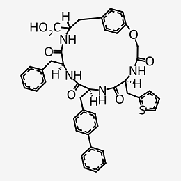 O=C1COc2ccc(cc2)C[C@@H](C(=O)O)NC(=O)[C@H](Cc2ccccc2)NC(=O)[C@H](Cc2ccc(-c3ccccc3)cc2)NC(=O)[C@H](Cc2cccs2)N1